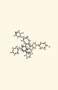 Cc1ccc(-c2ccc3c(c2)c2ccccc2n3-c2ccc(-c3ccncc3)cc2-c2nc(-c3ccccc3)nc(-c3ccccc3)n2)cc1